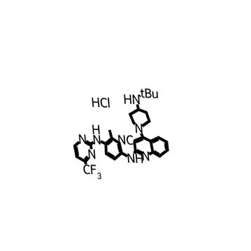 Cc1cc(Nc2nc3ccccc3c(N3CCC(NC(C)(C)C)CC3)c2C#N)ccc1Nc1nccc(C(F)(F)F)n1.Cl